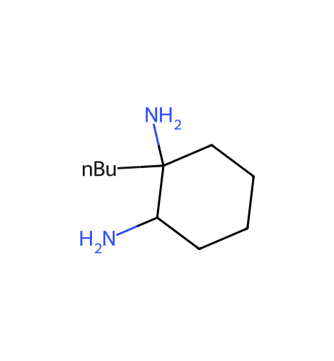 CCCCC1(N)CCCCC1N